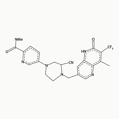 CNC(=O)c1ccc(N2CCN(Cc3cnc4c(C)c(C(F)(F)F)c(=O)[nH]c4c3)C(C#N)C2)cn1